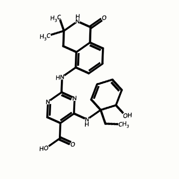 CCC1(Nc2nc(Nc3cccc4c3CC(C)(C)NC4=O)ncc2C(=O)O)C=CC=CC1O